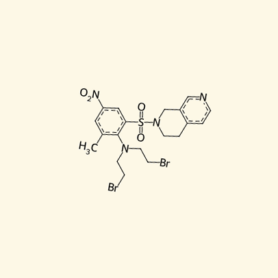 Cc1cc([N+](=O)[O-])cc(S(=O)(=O)N2CCc3ccncc3C2)c1N(CCBr)CCBr